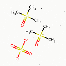 C[S+](C)(C)=O.C[S+](C)(C)=O.O=S(=O)([O-])[O-]